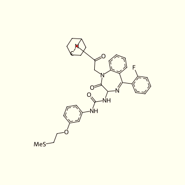 CSCCOc1cccc(NC(=O)NC2N=C(c3ccccc3F)c3ccccc3N(CC(=O)N3CC4CCC(CC4)C3)C2=O)c1